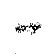 NC1(C(=O)N2CCC(CNC(=O)c3cc(CF)cc(C(F)(F)F)c3)CC2)CC1